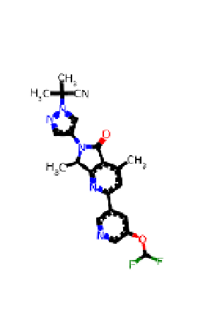 Cc1cc(-c2cncc(OC(F)F)c2)nc2c1C(=O)N(c1cnn(C(C)(C)C#N)c1)C2C